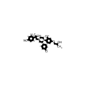 CC(O)COc1ccc(N2CCN(C[C@@](C)(O)c3ccc(C#N)cc3)C[C@H]2c2ccc(Cl)cc2)c(Cl)c1